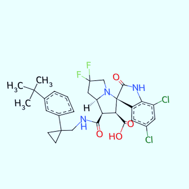 CC(C)(C)c1cccc(C2(CNC(=O)[C@H]3[C@H]4CC(F)(F)CN4[C@]4(C(=O)Nc5c(Cl)cc(Cl)cc54)[C@H]3C(=O)O)CC2)c1